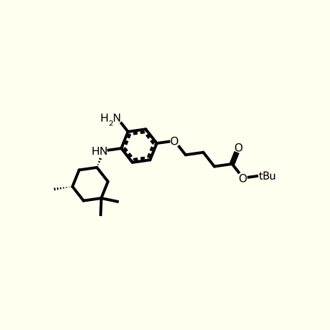 C[C@@H]1C[C@H](Nc2ccc(OCCCC(=O)OC(C)(C)C)cc2N)CC(C)(C)C1